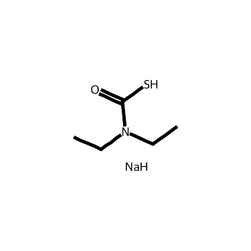 CCN(CC)C(=O)S.[NaH]